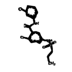 CCCS(=O)(=O)Nc1ccc(Cl)c(C(=O)Nc2cccc(Cl)c2)c1